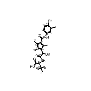 Cc1cc(NC(=O)c2c(C)c(C(O)C(=O)N[C@@H](C(=O)O)C(C)(C)C)n(C)c2C)ccc1F